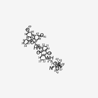 CCO[PH](C#N)(OCCCNc1cccc2c1C(=O)c1cccc(NCCCOC(c3ccccc3)(c3ccc(OC)cc3)c3ccc(OC)cc3)c1C2=O)N(C(C)C)C(C)C